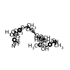 Cc1ncsc1-c1ccc(CNC(O)[C@@H]2C[C@@H](C)CN2C[C@@H](NC(=O)COCCCOCCC(C)(C)CCOc2ccc(N3C(=S)N(c4ccc(C#N)c(C(F)(F)F)c4)C(=O)C3(C)C)cc2)C(C)(C)C)cc1